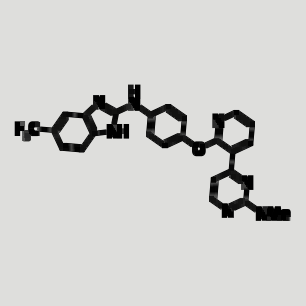 CNc1nccc(-c2cccnc2Oc2ccc(Nc3nc4cc(C(F)(F)F)ccc4[nH]3)cc2)n1